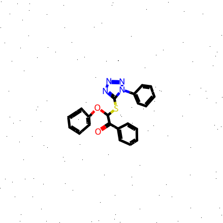 O=C(c1ccccc1)C(Oc1ccccc1)Sc1nnnn1-c1ccccc1